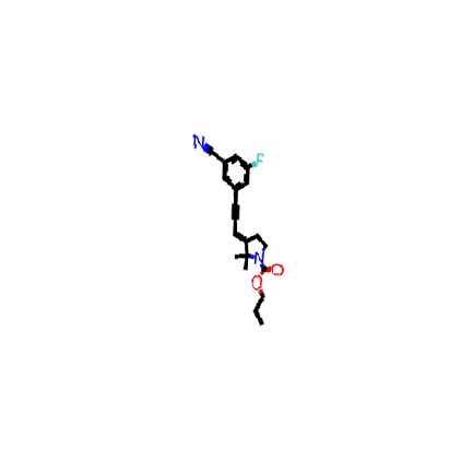 CCCOC(=O)N1CC/C(=C\C#Cc2cc(F)cc(C#N)c2)C1(C)C